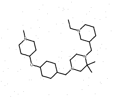 CCN1CCCC(CN2CCN(CC3CCC(OC4CCN(C)CC4)CC3)CC2(C)C)C1